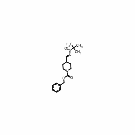 CC(C)(C)[S@+]([O-])/N=C/C1CCN(C(=O)OCc2ccccc2)CC1